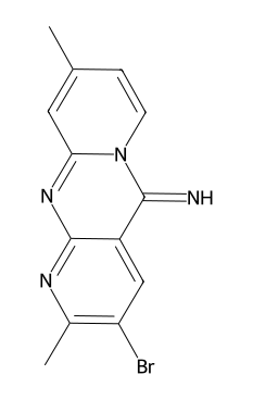 Cc1ccn2c(=N)c3cc(Br)c(C)nc3nc2c1